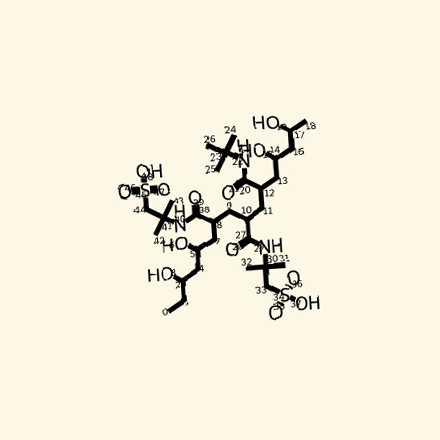 CCC(O)CC(O)CC(CC(CC(CC(O)CC(C)O)C(=O)NC(C)(C)C)C(=O)NC(C)(C)CS(=O)(=O)O)C(=O)NC(C)(C)CS(=O)(=O)O